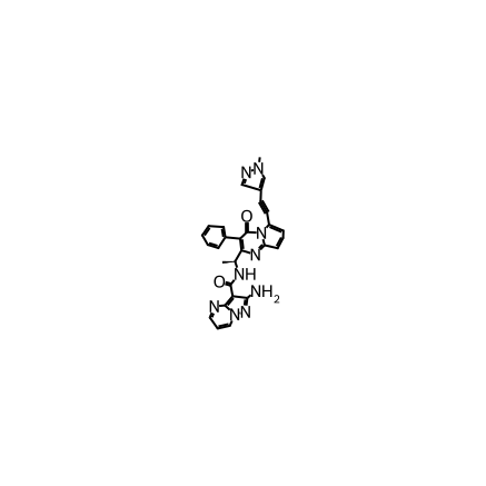 C[C@H](NC(=O)c1c(N)nn2cccnc12)c1nc2cccc(C#Cc3cnn(C)c3)n2c(=O)c1-c1ccccc1